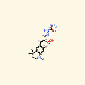 CN1CCC(C)(C)c2cc3c(cc21)OC(O)C(/C=N/NC(N)=O)=C3